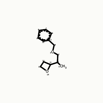 CC(COCc1ccccc1)C1CCO1